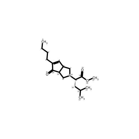 CCCCC1=CC2CN([C@@H](CC(C)C)C(=O)OC)CC2C1=O